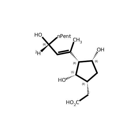 [2H][C@](O)(C=C(C)[C@H]1[C@@H](O)[C@@H](CC(=O)O)C[C@H]1O)CCCCC